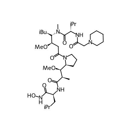 CC[C@H](C)[C@@H]([C@@H](CC(=O)N1CCC[C@H]1[C@H](OC)[C@@H](C)C(=O)N[C@@H](CC(C)C)C(=O)NO)OC)N(C)C(=O)[C@@H](NC(=O)CN1CCCCC1)C(C)C